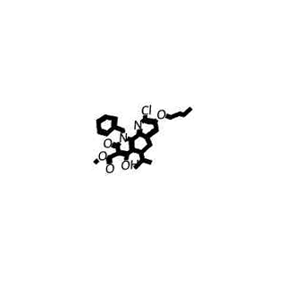 CCCCOc1cc2c(nc1Cl)-c1c(c(O)c(C(=O)OC)c(=O)n1Cc1ccccc1)C(C(C)C)C2